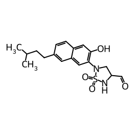 CC(C)CCc1ccc2cc(O)c(N3CC(C=O)NS3(=O)=O)cc2c1